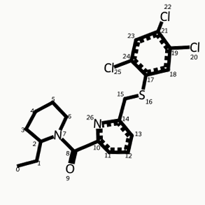 CCC1CCCCN1C(=O)c1cccc(CSc2cc(Cl)c(Cl)cc2Cl)n1